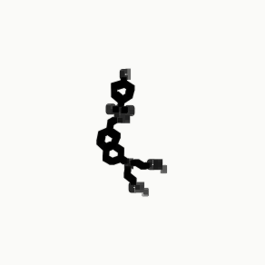 CCCN(CCC)C1CCc2ccc(CNS(=O)(=O)c3ccc(Cl)cc3)cc2C1